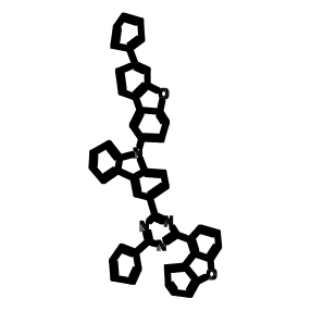 c1ccc(-c2ccc3c(c2)oc2ccc(-n4c5ccccc5c5cc(-c6nc(-c7ccccc7)nc(-c7cccc8oc9ccccc9c78)n6)ccc54)cc23)cc1